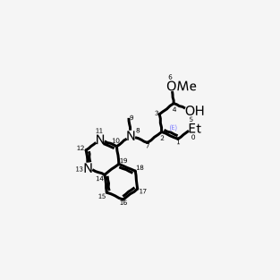 CC/C=C(\CC(O)OC)CN(C)c1ncnc2ccccc12